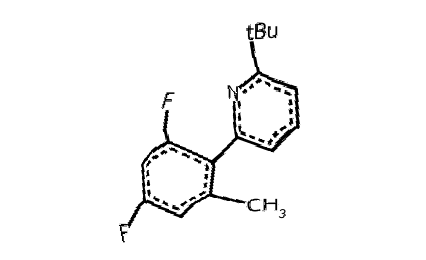 Cc1cc(F)cc(F)c1-c1cccc(C(C)(C)C)n1